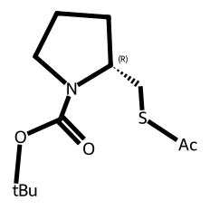 CC(=O)SC[C@H]1CCCN1C(=O)OC(C)(C)C